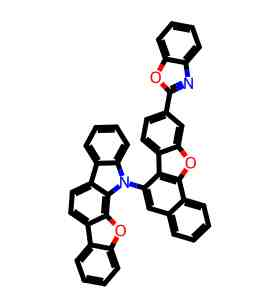 c1ccc2c(c1)cc(-n1c3ccccc3c3ccc4c5ccccc5oc4c31)c1c3ccc(-c4nc5ccccc5o4)cc3oc21